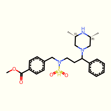 COC(=O)c1ccc(CN(CCC(c2ccccc2)N2C[C@@H](C)N[C@@H](C)C2)[SH](=O)=O)cc1